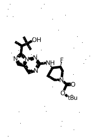 CC(c1ncc2cnc(N[C@H]3CCN(C(=O)OC(C)(C)C)C[C@H]3F)nn12)C(C)(C)O